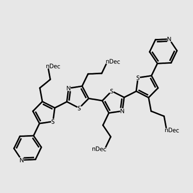 CCCCCCCCCCCCc1cc(-c2ccncc2)sc1-c1nc(CCCCCCCCCCCC)c(-c2sc(-c3sc(-c4ccncc4)cc3CCCCCCCCCCCC)nc2CCCCCCCCCCCC)s1